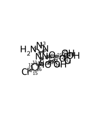 Nc1ncnc2c1nc(Sc1ccc(Cl)cc1)n2[C@@H]1O[C@H](COP(=O)(O)O)[C@@H](O)[C@H]1O